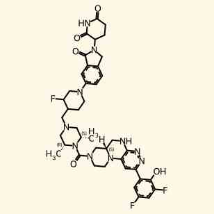 C[C@@H]1CN(CC2CCN(c3ccc4c(c3)C(=O)N(C3CCC(=O)NC3=O)C4)CC2F)C[C@H](C)N1C(=O)N1CCN2c3cc(-c4cc(F)cc(F)c4O)nnc3NC[C@H]2C1